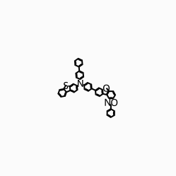 c1ccc(-c2ccc(N(c3ccc(-c4ccc5c(c4)oc4ccc6oc(-c7ccccc7)nc6c45)cc3)c3ccc4c(c3)sc3ccccc34)cc2)cc1